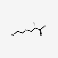 CC(C)C(=O)[C@@H]([O])COCCS